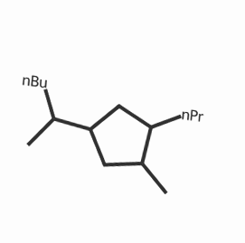 CCCCC(C)C1CC(C)C(CCC)C1